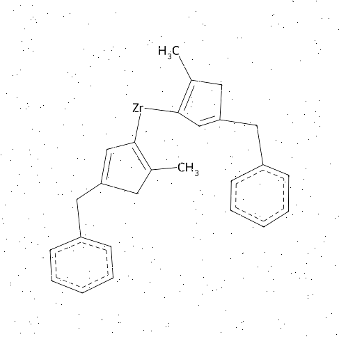 CC1=[C]([Zr][C]2=C(C)CC(Cc3ccccc3)=C2)C=C(Cc2ccccc2)C1